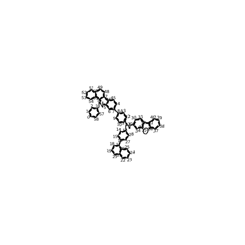 c1ccc(-n2c3cc(-c4ccc(N(c5ccc(-c6cccc7ccccc67)cc5)c5ccc6c(c5)oc5ccccc56)cc4)ccc3c3ccc4ccccc4c32)cc1